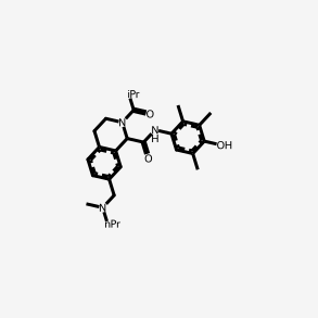 CCCN(C)Cc1ccc2c(c1)C(C(=O)Nc1cc(C)c(O)c(C)c1C)N(C(=O)C(C)C)CC2